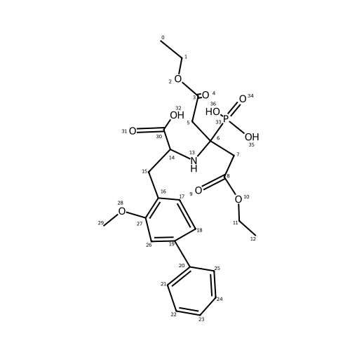 CCOC(=O)CC(CC(=O)OCC)(NC(Cc1ccc(-c2ccccc2)cc1OC)C(=O)O)P(=O)(O)O